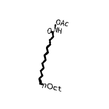 CCCCCCCC/C=C\CCCCCCCCCCCC(=O)NCOC(C)=O